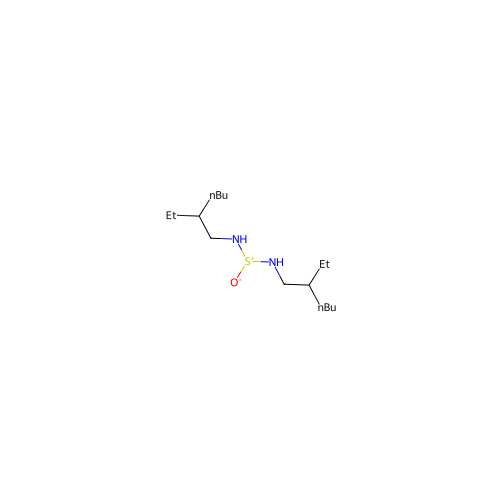 CCCCC(CC)CN[S+]([O-])NCC(CC)CCCC